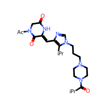 CC(=O)N1CC(=O)N/C(=C\c2ncn(CCCN3CCN(C(=O)C(C)C)CC3)c2C(C)C)C1=O